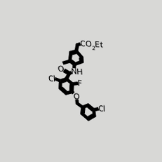 CCOC(=O)Cc1ccc(NC(=O)c2c(Cl)ccc(OCc3cccc(Cl)c3)c2F)c(C)c1